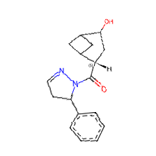 O=C([C@H]1CC(O)C2CC1C2)N1N=CCC1c1ccccc1